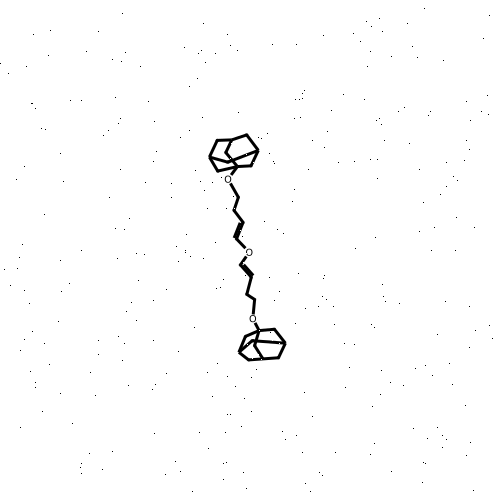 C(=COC=CCCOC12CC3CC(CC(C3)C1)C2)CCOC12CC3CC(CC(C3)C1)C2